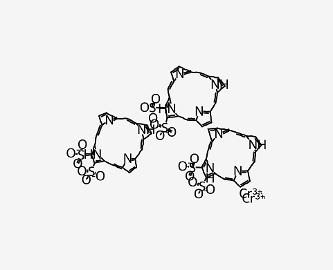 O=S(=O)([O-])c1c(S(=O)(=O)[O-])c2cc3nc(cc4ccc(cc5nc(cc1[nH]2)C=C5)[nH]4)C=C3.O=S(=O)([O-])c1c(S(=O)(=O)[O-])c2cc3nc(cc4ccc(cc5nc(cc1[nH]2)C=C5)[nH]4)C=C3.O=S(=O)([O-])c1c(S(=O)(=O)[O-])c2cc3nc(cc4ccc(cc5nc(cc1[nH]2)C=C5)[nH]4)C=C3.[Cr+3].[Cr+3]